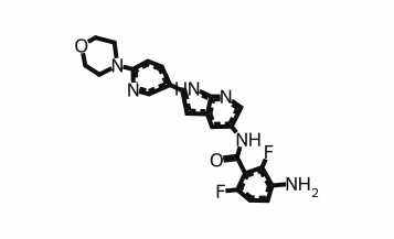 Nc1ccc(F)c(C(=O)Nc2cnc3[nH]c(-c4ccc(N5CCOCC5)nc4)cc3c2)c1F